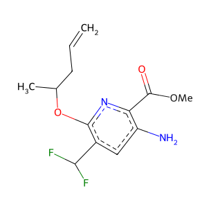 C=CCC(C)Oc1nc(C(=O)OC)c(N)cc1C(F)F